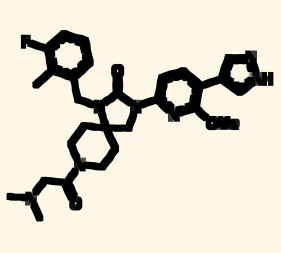 COc1nc(N2CC3(CCN(C(=O)CN(C)C)CC3)N(Cc3cccc(F)c3C)C2=O)ccc1-c1cn[nH]c1